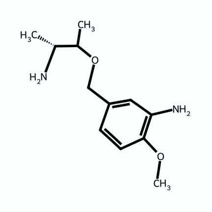 COc1ccc(COC(C)[C@@H](C)N)cc1N